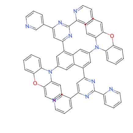 c1ccc(-c2nc(-c3cccnc3)cc(-c3cc(N4c5ccccc5Oc5ccccc54)cc4c(-c5cc(-c6cccnc6)nc(-c6ccccn6)n5)cc(N5c6ccccc6Oc6ccccc65)cc34)n2)nc1